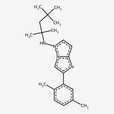 Cc1ccc(C)c(-c2cn3c(ccn3NC(C)(C)CC(C)(C)C)n2)c1